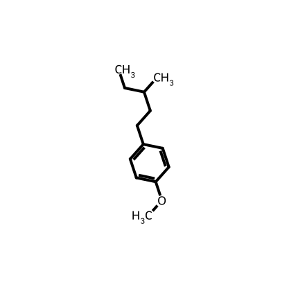 CCC(C)CCc1ccc(OC)cc1